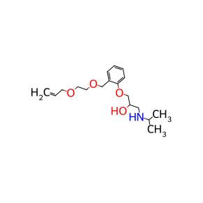 C=CCOCCOCc1ccccc1OCC(O)CNC(C)C